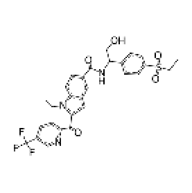 CCn1c(C(=O)c2ccc(C(F)(F)F)cn2)cc2cc(C(=O)NC(CO)c3ccc(S(=O)(=O)CC)cc3)ccc21